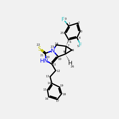 Fc1ccc(F)c([C@]23C[C@H]2c2c(CCc4ccccc4)[nH]c(=S)n2C3)c1